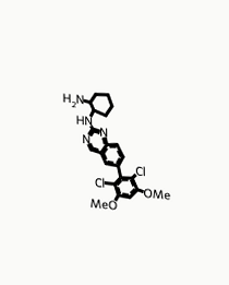 COc1cc(OC)c(Cl)c(-c2ccc3nc(NC4CCCCC4N)ncc3c2)c1Cl